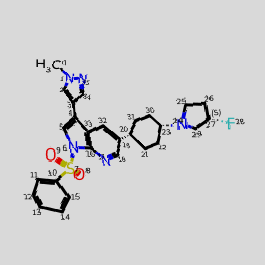 Cn1cc(-c2cn(S(=O)(=O)c3ccccc3)c3ncc([C@H]4CC[C@@H](N5CC[C@H](F)C5)CC4)cc23)cn1